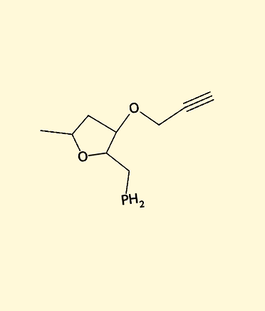 C#CCOC1CC(C)OC1CP